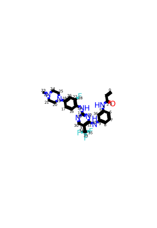 C=CC(=O)Nc1cccc(Nc2nc(Nc3ccc(N4CCN(C)CC4)cc3F)ncc2C(F)(F)F)c1